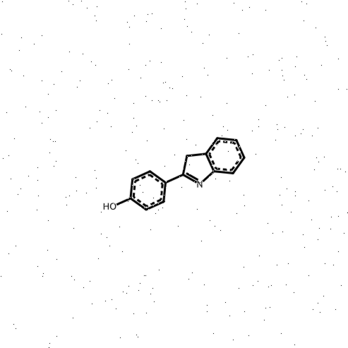 Oc1ccc(C2=Nc3ccccc3C2)cc1